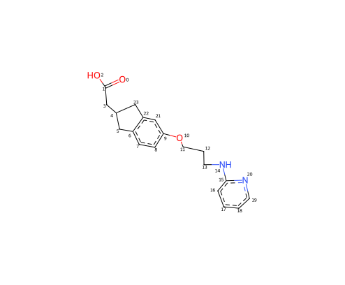 O=C(O)CC1Cc2ccc(OCCCNc3ccccn3)cc2C1